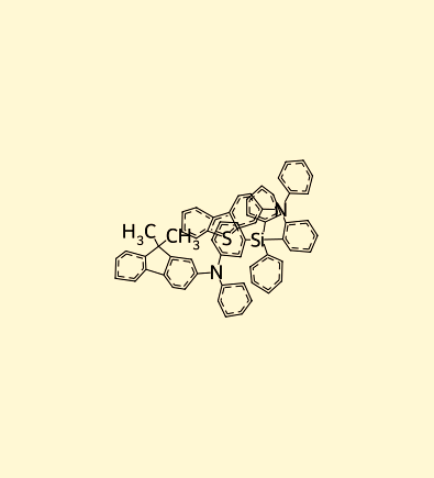 CC1(C)c2ccccc2-c2ccc(N(c3ccccc3)c3cccc([Si](c4ccccc4)(c4ccccc4)c4ccccc4N(c4ccccc4)c4ccc5c(c4)sc4ccccc45)c3)cc21